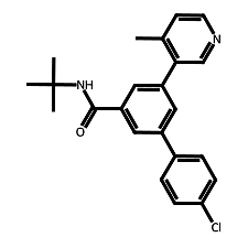 Cc1ccncc1-c1cc(C(=O)NC(C)(C)C)cc(-c2ccc(Cl)cc2)c1